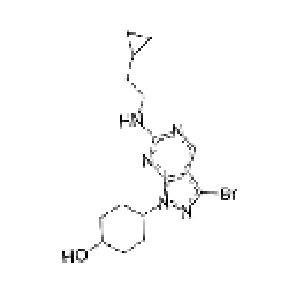 OC1CCC(n2nc(Br)c3cnc(NCCC4CC4)nc32)CC1